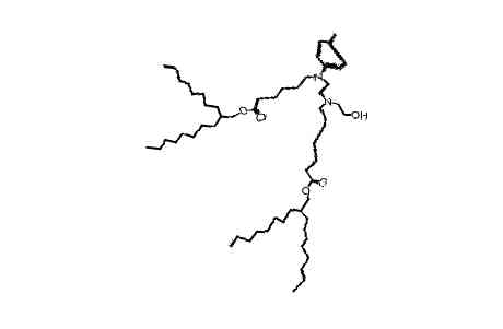 CCCCCCCCC(CCCCCCCC)COC(=O)CCCCCN(CCO)CCN(CCCCCC(=O)OCC(CCCCCCCC)CCCCCCCC)c1ccc(C)cc1